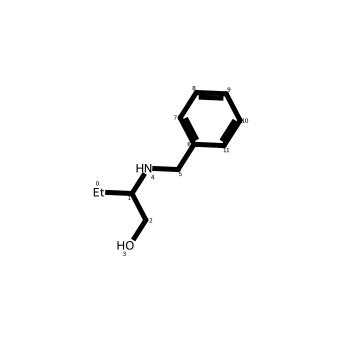 CCC(CO)NCc1ccccc1